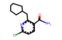 NC(=O)c1ccc(Cl)nc1CC1CCCCC1